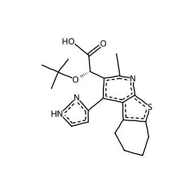 Cc1nc2sc3c(c2c(-c2cc[nH]n2)c1[C@H](OC(C)(C)C)C(=O)O)CCCC3